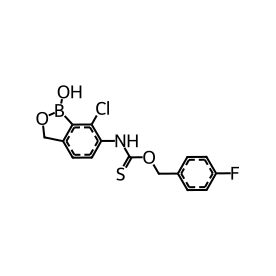 OB1OCc2ccc(NC(=S)OCc3ccc(F)cc3)c(Cl)c21